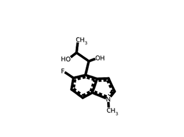 CC(O)[C](O)c1c(F)ccc2c1ccn2C